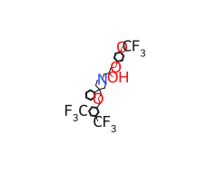 OC(COc1ccc(OC(F)(F)F)cc1)CN1CCC(COCc2cc(C(F)(F)F)cc(C(F)(F)F)c2)(c2ccccc2)CC1